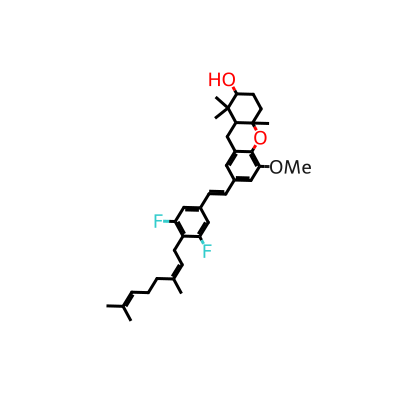 COc1cc(C=Cc2cc(F)c(CC=C(C)CCC=C(C)C)c(F)c2)cc2c1OC1(C)CCC(O)C(C)(C)C1C2